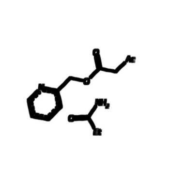 CC(=O)CC(=O)OCc1ccccn1.CCC(N)=O